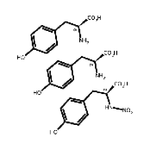 N[C@@H](Cc1ccc(O)cc1)C(=O)O.N[C@@H](Cc1ccc(O)cc1)C(=O)O.O=C(O)[C@H](Cc1ccc(O)cc1)N[N+](=O)[O-]